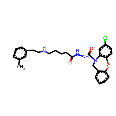 Cc1cccc(CCNCCCCC(=O)NNC(=O)N2Cc3ccccc3Oc3ccc(Cl)cc32)c1